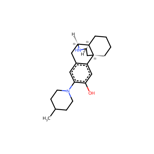 CC1CCN(c2cc3c(cc2O)[C@]24CCCC[C@@H]2[C@H](C3)NCC4)CC1